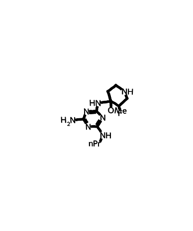 CCCNc1nc(N)nc(NC2(OC)CCNCC2F)n1